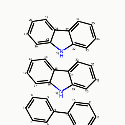 c1ccc(-c2ccccc2)cc1.c1ccc2c(c1)[nH]c1ccccc12.c1ccc2c(c1)[nH]c1ccccc12